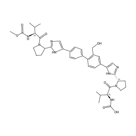 COC(=O)N[C@H](C(=O)N1CCCC1c1ncc(-c2ccc(-c3ccc(-c4cnc([C@@H]5CCCN5C(=O)[C@@H](NC(=O)O)C(C)C)[nH]4)cc3CO)cc2)[nH]1)C(C)C